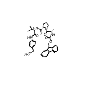 CC(C)[C@H](NC(=O)[C@@H]1CCCN1C(=O)[C@H](C)NC(=O)OCC1c2ccccc2-c2ccccc21)C(=O)Nc1ccc(CO)cc1